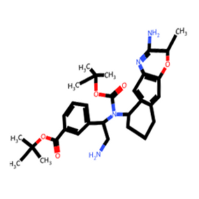 CC1Oc2cc3c(cc2N=C1N)C(N(C(=O)OC(C)(C)C)C(CN)c1cccc(C(=O)OC(C)(C)C)c1)CCC3